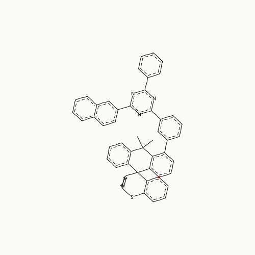 CC1(C)c2ccccc2C2(c3ccccc3Sc3ccccc32)c2cccc(-c3cccc(-c4nc(-c5ccccc5)nc(-c5ccc6ccccc6c5)n4)c3)c21